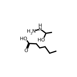 CC(O)NN.CCCCCC(=O)O